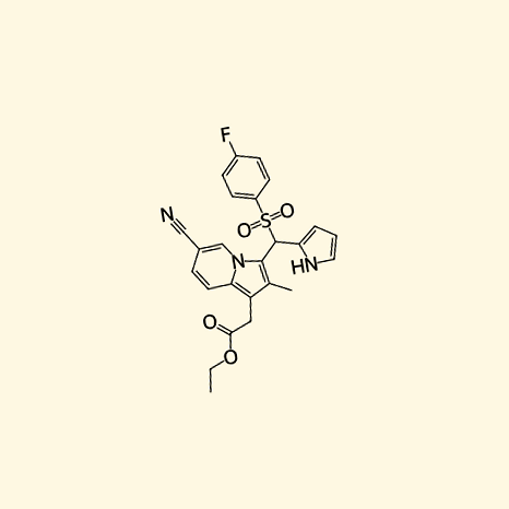 CCOC(=O)Cc1c(C)c(C(c2ccc[nH]2)S(=O)(=O)c2ccc(F)cc2)n2cc(C#N)ccc12